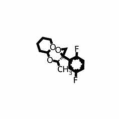 CC(OC1CCCCO1)[C@@]1(c2cc(F)ccc2F)CO1